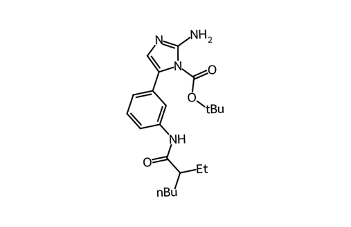 CCCCC(CC)C(=O)Nc1cccc(-c2cnc(N)n2C(=O)OC(C)(C)C)c1